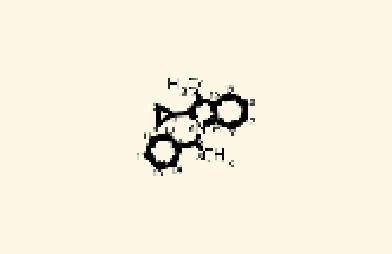 Cc1c(C2CC2)n(C(C)c2ccccc2)c2ccccc12